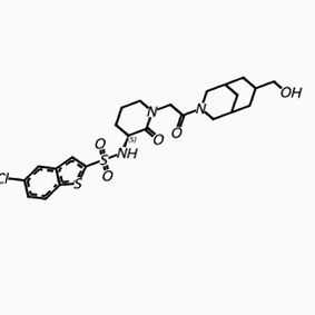 O=C(CN1CCC[C@H](NS(=O)(=O)c2cc3cc(Cl)ccc3s2)C1=O)N1CC2CC(CO)CC(C2)C1